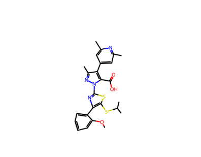 COc1ccccc1-c1nc(-n2nc(C)c(-c3cc(C)nc(C)c3)c2C(=O)O)sc1SC(C)C